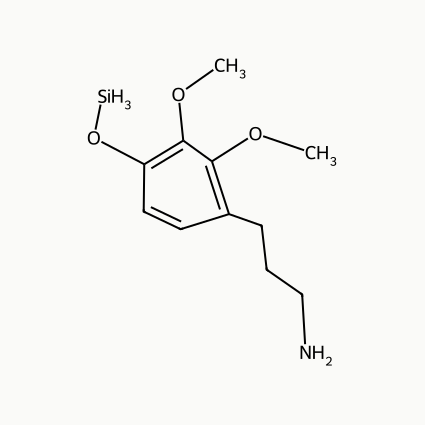 COc1c(CCCN)ccc(O[SiH3])c1OC